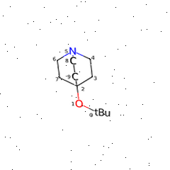 CC(C)(C)OC12CCN(CC1)CC2